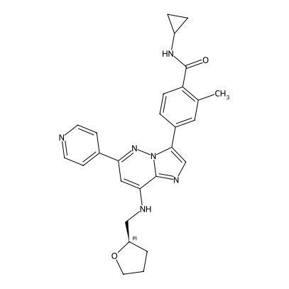 Cc1cc(-c2cnc3c(NC[C@H]4CCCO4)cc(-c4ccncc4)nn23)ccc1C(=O)NC1CC1